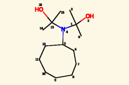 CC(C)(O)N(C1CCCCCCC1)C(C)(C)O